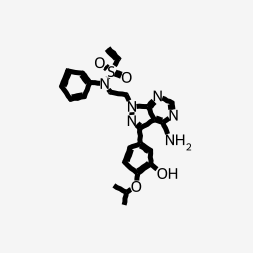 C=CS(=O)(=O)N(CCn1nc(-c2ccc(OC(C)C)c(O)c2)c2c(N)ncnc21)c1ccccc1